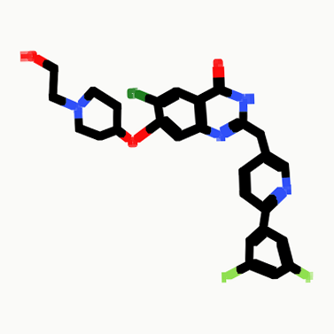 O=c1[nH]c(Cc2ccc(-c3cc(F)cc(F)c3)nc2)nc2cc(OC3CCN(CCO)CC3)c(Cl)cc12